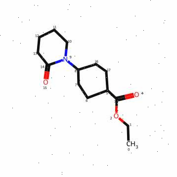 CCOC(=O)C1CCC(N2CCCCC2=O)CC1